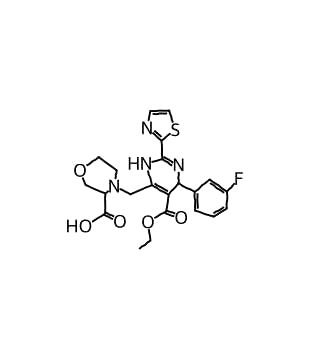 CCOC(=O)C1=C(CN2CCOCC2C(=O)O)NC(c2nccs2)=NC1c1cccc(F)c1